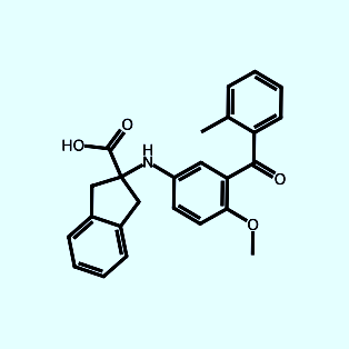 COc1ccc(NC2(C(=O)O)Cc3ccccc3C2)cc1C(=O)c1ccccc1C